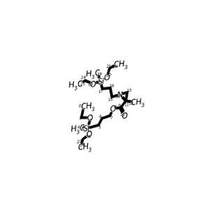 CCO[Si](C)(CCCOC(=O)C1(C)CN1CCC[Si](C)(OCC)OCC)OCC